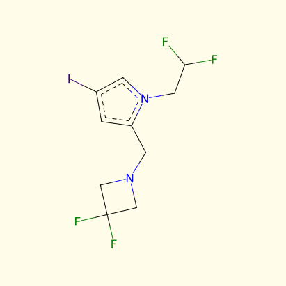 FC(F)Cn1cc(I)cc1CN1CC(F)(F)C1